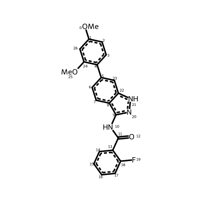 COc1ccc(-c2ccc3c(NC(=O)c4ccccc4F)n[nH]c3c2)c(OC)c1